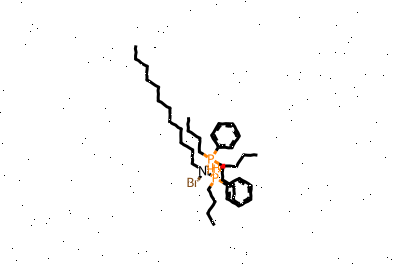 CCCCCCCCCCC[CH2][Ni]([Br])([PH](CCCC)(CCCC)c1ccccc1)[PH](CCCC)(CCCC)c1ccccc1